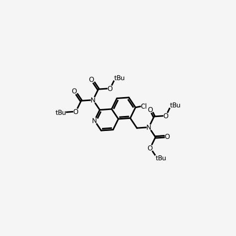 CC(C)(C)OC(=O)N(Cc1c(Cl)ccc2c(N(C(=O)OC(C)(C)C)C(=O)OC(C)(C)C)nccc12)C(=O)OC(C)(C)C